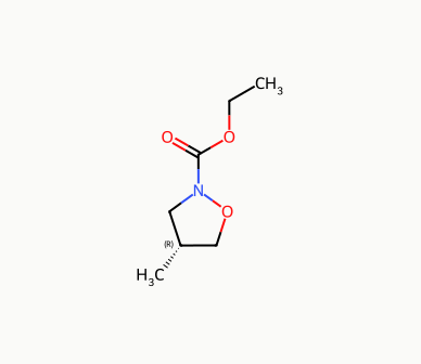 CCOC(=O)N1C[C@@H](C)CO1